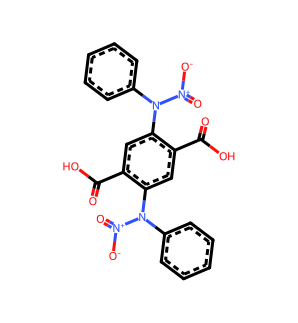 O=C(O)c1cc(N(c2ccccc2)[N+](=O)[O-])c(C(=O)O)cc1N(c1ccccc1)[N+](=O)[O-]